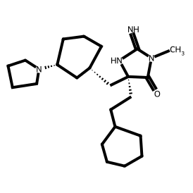 CN1C(=N)N[C@](CCC2CCCCC2)(C[C@H]2CCC[C@@H](N3CCCC3)C2)C1=O